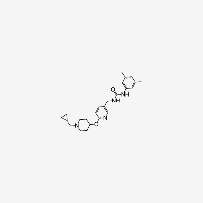 Cc1cc(C)cc(NC(=O)NCc2ccc(OC3CCN(CC4CC4)CC3)nc2)c1